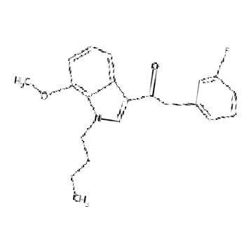 CCCCn1cc(C(=O)Cc2cccc(F)c2)c2cccc(OC)c21